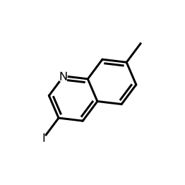 Cc1ccc2cc(I)cnc2c1